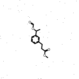 COC(=O)CCc1cccc(C(C)OC=O)c1